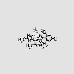 C=C(C)/C(=C1/OC(CC)=C(c2ccc(Cl)cc2Cl)N1N)n1nc(C)nc1C